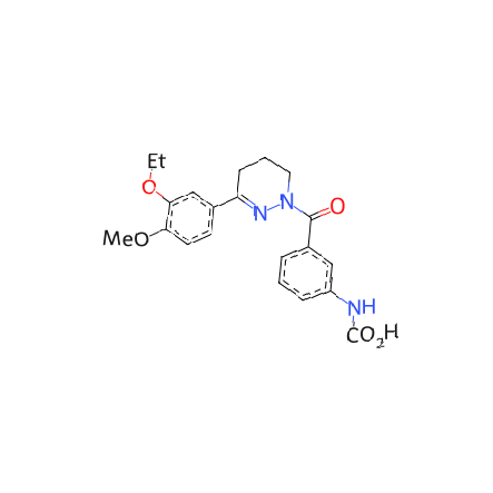 CCOc1cc(C2=NN(C(=O)c3cccc(NC(=O)O)c3)CCC2)ccc1OC